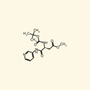 COC(=O)C[C@H](NC(=O)OC(C)(C)C)C(=O)Nc1cccnc1